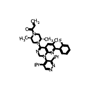 C=CC(=O)N1C[C@H](C)N(C2=NCN(c3c(C(C)C)cnnc3C(C)C)c3nc(-c4ccccc4F)c(Cl)cc32)C[C@H]1C